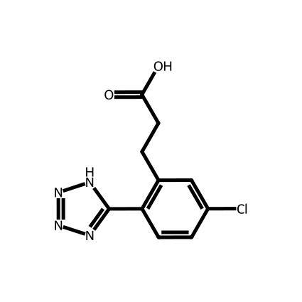 O=C(O)CCc1cc(Cl)ccc1-c1nnn[nH]1